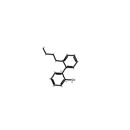 CCCCc1ccccc1-c1ccccc1S